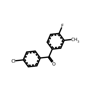 Cc1cc(C(=O)c2ccc(Cl)cc2)ccc1F